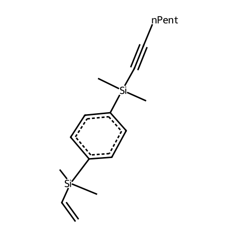 C=C[Si](C)(C)c1ccc([Si](C)(C)C#CCCCCC)cc1